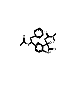 CC(=O)OC(Cc1ccccc1)c1ccc2c(c1)C(O)(CC(=O)N(C)C)C(=O)N2